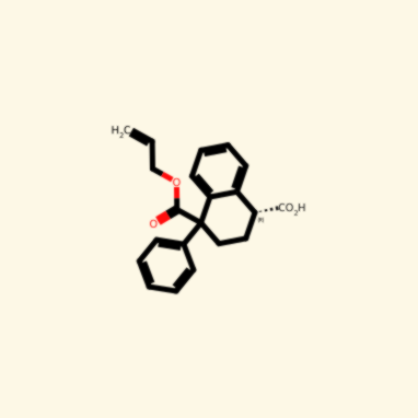 C=CCOC(=O)C1(c2ccccc2)CC[C@@H](C(=O)O)c2ccccc21